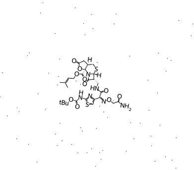 CC(C)=CCOC(=O)[C@]12OC(=O)C[C@H]1CS[C@@H]1[C@H](CNC(=O)/C(=N\OCC(N)=O)c3csc(NC(=O)OC(C)(C)C)n3)C(=O)N12